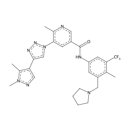 Cc1ncc(C(=O)Nc2cc(CN3CCCC3)c(C)c(C(F)(F)F)c2)cc1-n1cc(-c2cnn(C)c2C)nn1